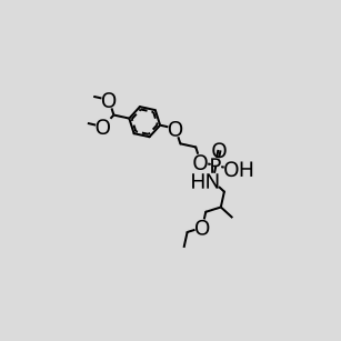 CCOCC(C)CNP(=O)(O)OCCOc1ccc(C(OC)OC)cc1